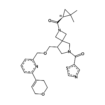 CC1(C)C[C@@H]1C(=O)N1CC2(CN(C(=O)c3cncs3)CC2COCc2cccc(C3=CCOCC3)n2)C1